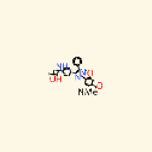 CNC(=O)c1ccc2c(c1)OCn1c-2nc(-c2ccc([C@]3(N)C[C@](C)(O)C3)cc2)c1-c1ccccc1